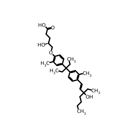 CCCCC(O)(C=Cc1ccc(C(CC)(CC)c2ccc(OC[C@@H](O)CCC(=O)O)c(C)c2)cc1C)CC